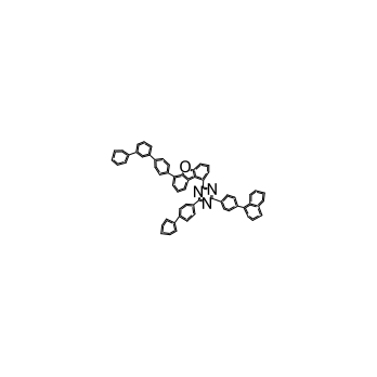 c1ccc(-c2ccc(-c3nc(-c4ccc(-c5cccc6ccccc56)cc4)nc(-c4cccc5oc6c(-c7ccc(-c8cccc(-c9ccccc9)c8)cc7)cccc6c45)n3)cc2)cc1